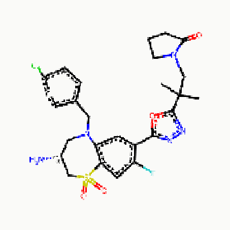 CC(C)(CN1CCCC1=O)c1nnc(-c2cc3c(cc2F)S(=O)(=O)C[C@H](N)CN3Cc2ccc(Cl)cc2)o1